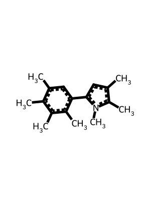 Cc1cc(-c2cc(C)c(C)n2C)c(C)c(C)c1C